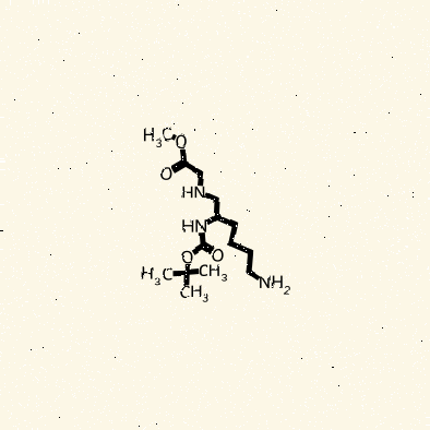 COC(=O)CNCC(CCCCN)NC(=O)OC(C)(C)C